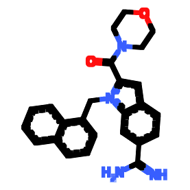 N=C(N)c1ccc2cc(C(=O)N3CCOCC3)n(Cc3cccc4ccccc34)c2c1